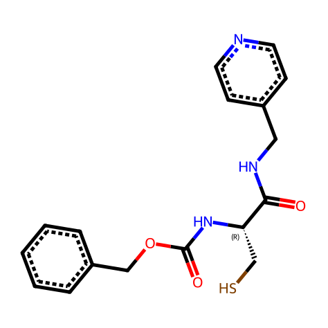 O=C(N[C@@H](CS)C(=O)NCc1ccncc1)OCc1ccccc1